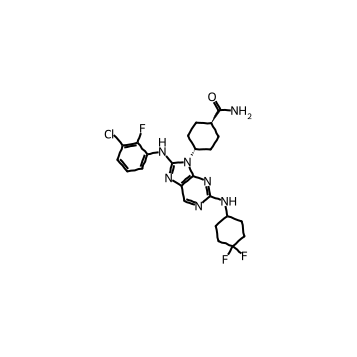 NC(=O)[C@H]1CC[C@H](n2c(Nc3cccc(Cl)c3F)nc3cnc(NC4CCC(F)(F)CC4)nc32)CC1